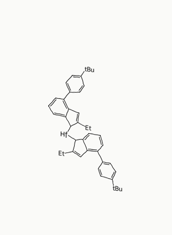 CCC1=Cc2c(-c3ccc(C(C)(C)C)cc3)cccc2[CH]1[Hf][CH]1C(CC)=Cc2c(-c3ccc(C(C)(C)C)cc3)cccc21